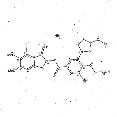 Br.CCOC1CCN(c2cc(C(=O)CN3Cc4cc(OC)c(OC)c(F)c4C3=N)cc(C(C)(C)C)c2OCC(=O)O)C1